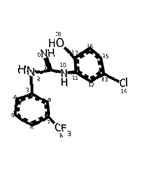 N=C(Nc1cccc(C(F)(F)F)c1)Nc1cc(Cl)ccc1O